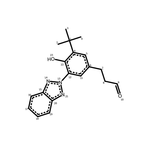 CC(C)(C)c1cc([CH]CC=O)cc(-n2nc3ccccc3n2)c1O